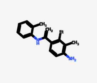 C=C(Nc1ccccc1C)c1ccc(N)c(C)c1CC